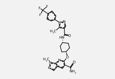 Cc1c(C(=O)N[C@H]2CC[C@H](Oc3nc4c(cnn4C)cc3C(N)=O)CC2)cnn1-c1ccc(C(F)(F)F)cc1